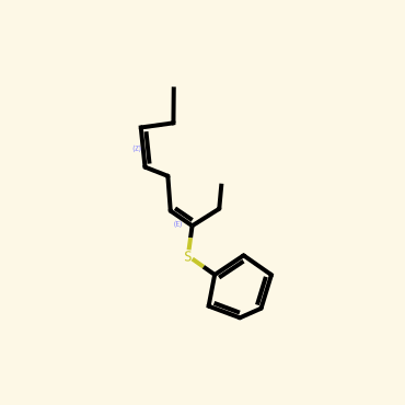 CC/C=C\C/C=C(\CC)Sc1ccccc1